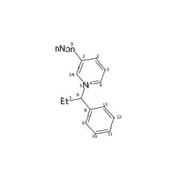 CCCCCCCCCc1ccc[n+](C(CC)c2ccccc2)c1